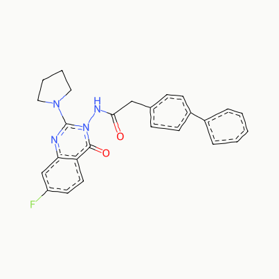 O=C(Cc1ccc(-c2ccccc2)cc1)Nn1c(N2CCCC2)nc2cc(F)ccc2c1=O